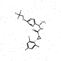 C[C@@H](NC(=O)[C@H]1C[C@@H]1c1c(F)cc(F)cc1F)c1cnc(OCC(F)(F)F)cn1